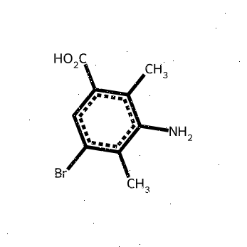 Cc1c(Br)cc(C(=O)O)c(C)c1N